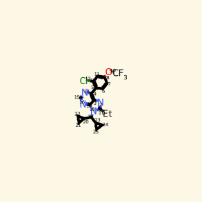 CCc1nc2c(-c3ccc(OC(F)(F)F)cc3Cl)ncnc2n1C(C1CC1)C1CC1